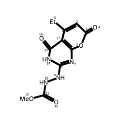 CCc1cc(=O)oc2nc(NNC(=O)OC)[nH]c(=O)c12